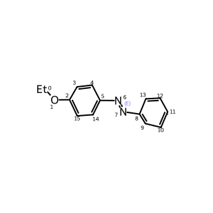 CCOc1ccc(/N=N/c2cc[c]cc2)cc1